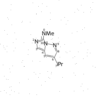 CNc1ncc2cc(C(C)C)cnn12